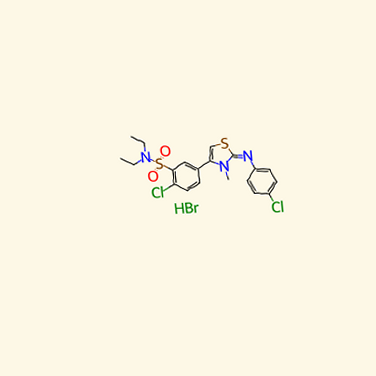 Br.CCN(CC)S(=O)(=O)c1cc(-c2csc(=Nc3ccc(Cl)cc3)n2C)ccc1Cl